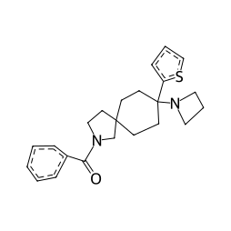 O=C(c1ccccc1)N1CCC2(CCC(c3cccs3)(N3CCC3)CC2)C1